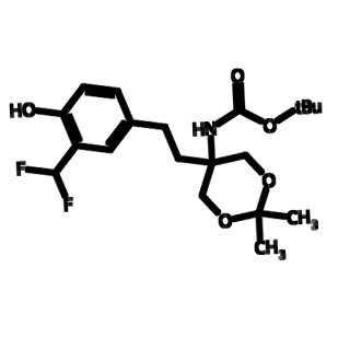 CC(C)(C)OC(=O)NC1(CCc2ccc(O)c(C(F)F)c2)COC(C)(C)OC1